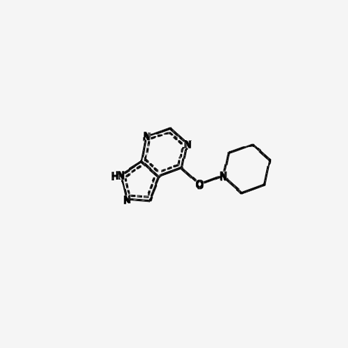 c1nc(ON2CCCCC2)c2cn[nH]c2n1